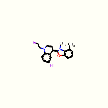 Cc1cccc2c1N(C)C(=C1C=CN(CCI)c3ccccc31)O2.I